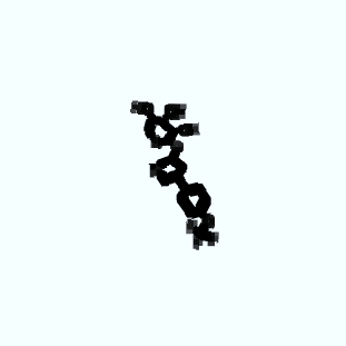 O[C@@H]1[C@@H](O)[C@H](Oc2cncc(-c3ccc(OC(F)(F)F)cc3)c2)SC[C@H]1O